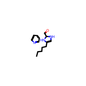 CCCCCC1=CNC(C=O)N1.c1ccncc1